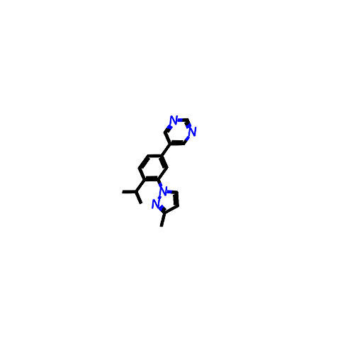 Cc1ccn(-c2cc(-c3cncnc3)ccc2C(C)C)n1